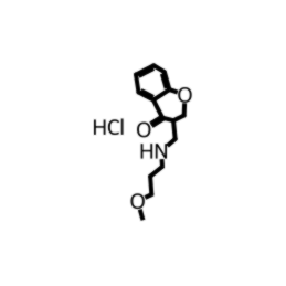 COCCCNCC1COc2ccccc2C1=O.Cl